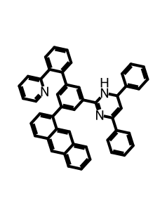 C1=C(c2ccccc2)N=C(c2cc(-c3ccccc3-c3ccccn3)cc(-c3cccc4cc5ccccc5cc34)c2)NC1c1ccccc1